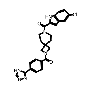 O=C(c1ccc(-c2nnc[nH]2)cc1)N1CC2(CCN(C(=O)c3cc4cc(Cl)ccc4[nH]3)CC2)C1